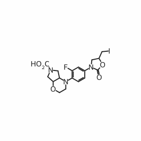 O=C(O)N1CC2OCCN(c3ccc(N4CC(CI)OC4=O)cc3F)C2C1